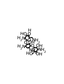 NCC1O[C@H](O[C@@H]2C(N)C[C@@H](N)C(O[C@@H]3O[C@H](CO)[C@H](O)C(N)C3O)[C@H]2O)C(N)[C@@H](O)[C@@H]1O